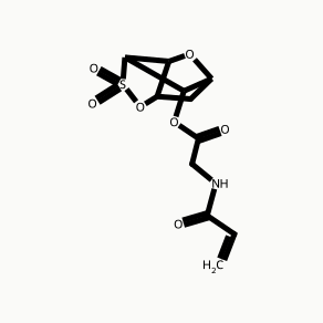 C=CC(=O)NCC(=O)OC1C2CC3OS(=O)(=O)C1C3O2